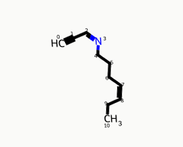 C#C/C=N\CCC/C=C\CC